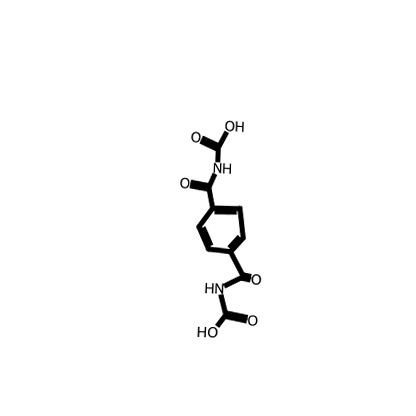 O=C(O)NC(=O)c1ccc(C(=O)NC(=O)O)cc1